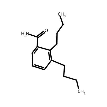 CCCCc1cccc(C(N)=O)c1CCCC